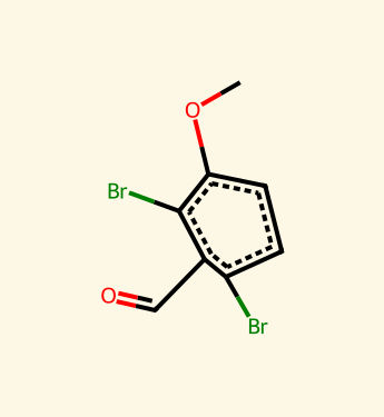 COc1ccc(Br)c(C=O)c1Br